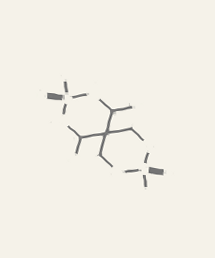 O=P1(Cl)OCC2(CO1)C(Cl)OP(=O)(Cl)OC2Cl